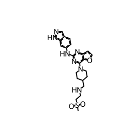 CS(=O)(=O)CCNCC1CCN(c2nc(Nc3ccc4cn[nH]c4c3)nc3ccoc23)CC1